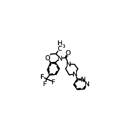 CC1COc2cc(C(F)(F)F)ccc2N1C(=O)N1CCN(c2cccnn2)CC1